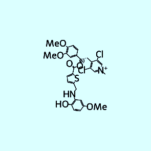 COc1ccc(O)c(NCc2ccc(C(=O)O[C@@H](Cc3c(Cl)c[n+](C)cc3Cl)c3ccc(OC)c(OC)c3)s2)c1